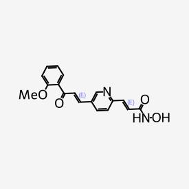 COc1ccccc1C(=O)/C=C/c1ccc(/C=C/C(=O)NO)nc1